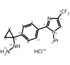 CC(C)n1cc(C(F)(F)F)nc1-c1ccc(C2(NN)CC2)cc1.Cl